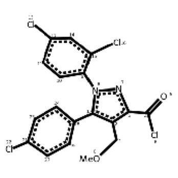 COCc1c(C(=O)Cl)nn(-c2ccc(Cl)cc2Cl)c1-c1ccc(Cl)cc1